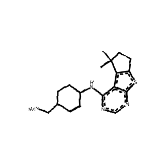 CNCC1CCC(Nc2ncnc3sc4c(c23)C(C)(C)CC4)CC1